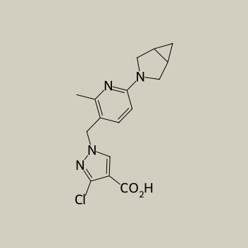 Cc1nc(N2CC3CC3C2)ccc1Cn1cc(C(=O)O)c(Cl)n1